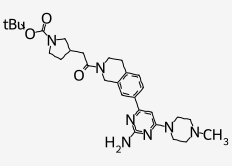 CN1CCN(c2cc(-c3ccc4c(c3)CN(C(=O)CC3CCN(C(=O)OC(C)(C)C)C3)CC4)nc(N)n2)CC1